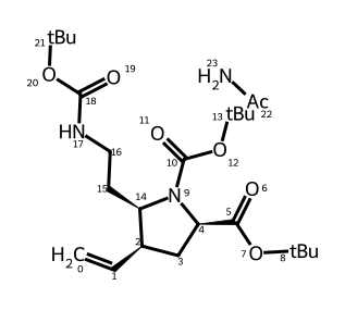 C=C[C@@H]1C[C@H](C(=O)OC(C)(C)C)N(C(=O)OC(C)(C)C)[C@@H]1CCNC(=O)OC(C)(C)C.CC(N)=O